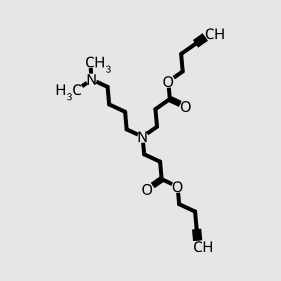 C#CCCOC(=O)CCN(CCCCN(C)C)CCC(=O)OCCC#C